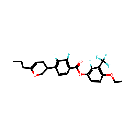 CCCC1=CCC(c2ccc(C(=O)Oc3ccc(OCC)c(C(F)(F)F)c3F)c(F)c2F)CO1